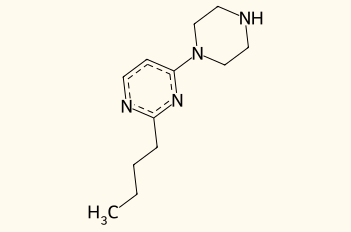 CCCCc1nccc(N2CCNCC2)n1